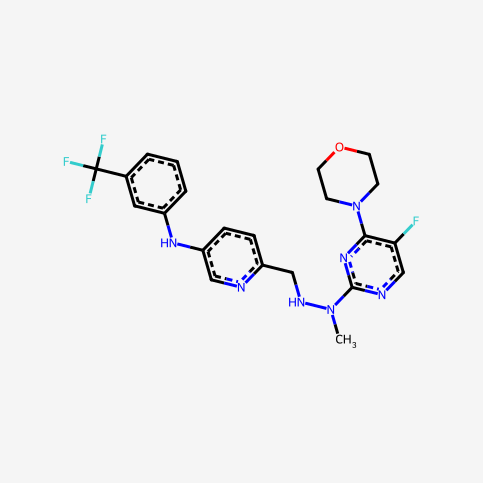 CN(NCc1ccc(Nc2cccc(C(F)(F)F)c2)cn1)c1ncc(F)c(N2CCOCC2)n1